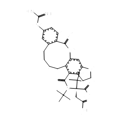 CC(C)(C)N(C(=O)c1c2c(cc3c1CCCCc1cc(NC(=N)N)ccc1C(=O)O3)OCC2)[C@@](CC(=O)O)(C(=O)O)C(C)(C)C